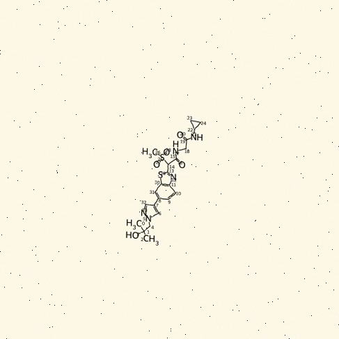 CC(C)(O)Cn1cc(-c2ccc3nc(C(C(=O)NCC(=O)NC4CC4)S(C)(=O)=O)sc3c2)cn1